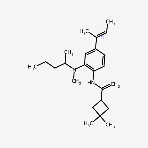 C=C(Nc1ccc(/C(C)=C/C)cc1N(C)C(C)CCC)C1CC(C)(C)C1